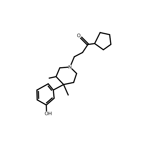 CC1CN(CCC(=O)C2CCCC2)CCC1(C)c1cccc(O)c1